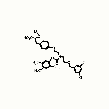 CCOC(Cc1ccc(OCCN(CCOCc2cc(Cl)cc(Cl)c2)C(=O)Oc2cc(C)c(C)cc2C)cc1)C(=O)O